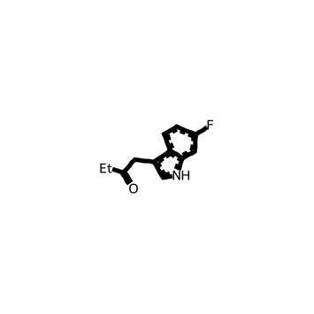 CCC(=O)Cc1c[nH]c2cc(F)ccc12